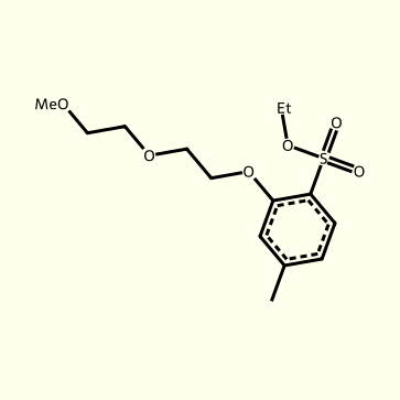 CCOS(=O)(=O)c1ccc(C)cc1OCCOCCOC